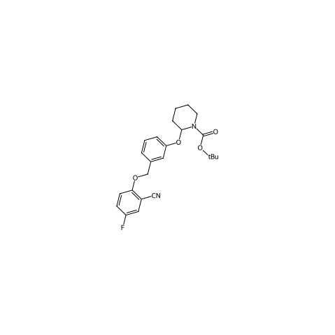 CC(C)(C)OC(=O)N1CCCCC1Oc1cccc(COc2ccc(F)cc2C#N)c1